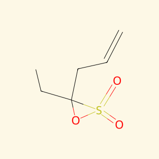 C=CCC1(CC)OS1(=O)=O